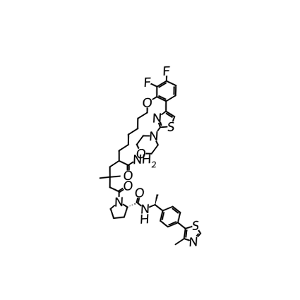 Cc1ncsc1-c1ccc([C@H](C)NC(=O)[C@@H]2CCCN2C(=O)CC(C)(C)CC(CCCCCCOc2c(-c3csc(N4CCOCC4)n3)ccc(F)c2F)C(N)=O)cc1